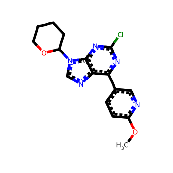 COc1ccc(-c2nc(Cl)nc3c2ncn3C2CCCCO2)cn1